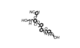 Cc1c(COc2cc(OCc3cncc(C#N)c3)c(CNCCO)cc2Cl)cccc1-c1cccc(-n2cnc3cc(CNCCO)ccc3c2=O)c1